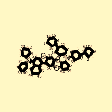 c1ccc(-c2ccc(N3c4ccc(-c5ccccc5)cc4B4c5cc6oc7cc(N(c8ccccc8)c8ccccc8)c8ccccc8c7c6cc5Oc5cccc3c54)cc2)cc1